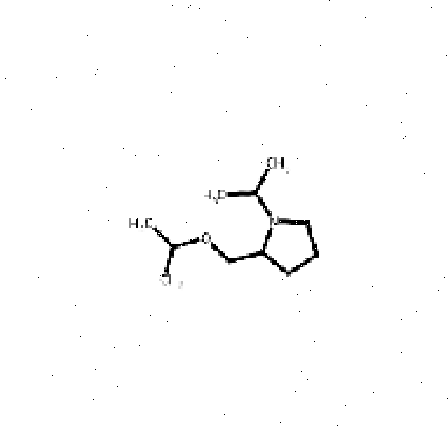 CC(C)OCC1CCCN1C(C)C